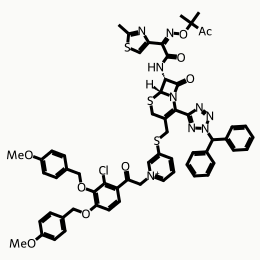 COc1ccc(COc2ccc(C(=O)C[n+]3cccc(SCC4=C(c5nnn(C(c6ccccc6)c6ccccc6)n5)N5C(=O)[C@@H](NC(=O)/C(=N\OC(C)(C)C(C)=O)c6csc(C)n6)[C@H]5SC4)c3)c(Cl)c2OCc2ccc(OC)cc2)cc1